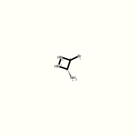 N[C@@H]1NNC1Br